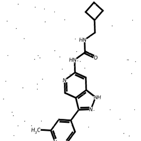 Cc1cc(-c2n[nH]c3cc(NC(=O)NCC4CCC4)ncc23)ccn1